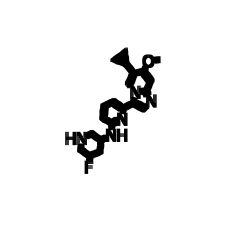 COc1cc2ncc(-c3cccc(NC4CNCC(F)C4)n3)n2cc1C1CC1